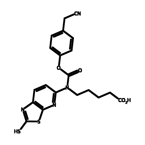 N#CCc1ccc(OC(=O)N(CCCCC(=O)O)c2ccc3nc(S)sc3n2)cc1